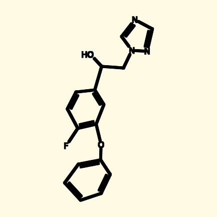 OC(Cn1cncn1)c1ccc(F)c(Oc2ccccc2)c1